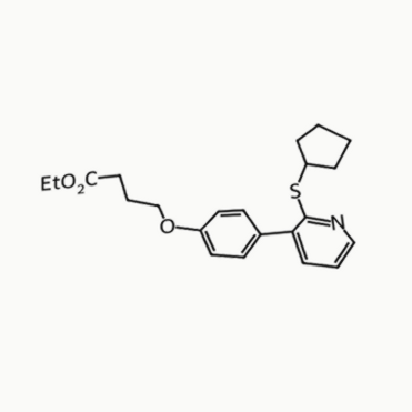 CCOC(=O)CCCOc1ccc(-c2cccnc2SC2CCCC2)cc1